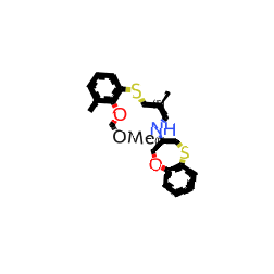 COCOc1c(C)cccc1SC[C@@H](C)CN[C@@H]1COc2ccccc2SC1